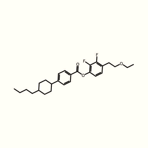 CCCCC1CCC(c2ccc(C(=O)Oc3ccc(CCOCC)c(F)c3F)cc2)CC1